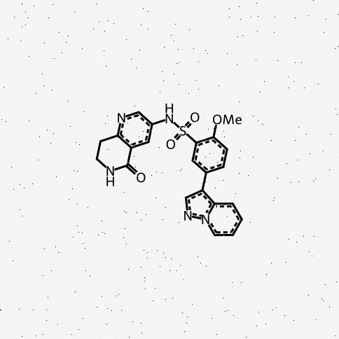 COc1ccc(-c2cnn3ccccc23)cc1S(=O)(=O)Nc1cnc2c(c1)C(=O)NCC2